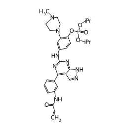 C=CC(=O)Nc1cccc(-c2nc(Nc3ccc(OP(=O)(OC(C)C)OC(C)C)c(N4CCN(C)CC4)c3)nc3[nH]ncc23)c1